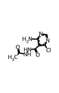 CC(=O)NNC(=O)c1c(N)ncnc1Cl